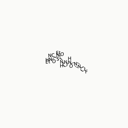 CCNC(=O)C(C#N)=c1sc(=CNc2cccc(NC(=O)CN3CCN(c4ccc(F)cc4)CC3)n2)c(=O)n1CC